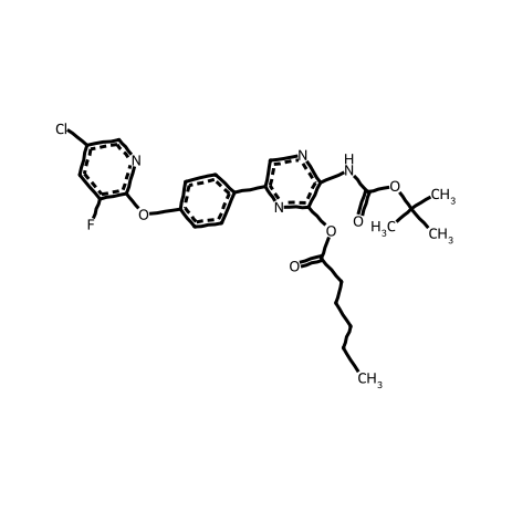 CCCCCC(=O)Oc1nc(-c2ccc(Oc3ncc(Cl)cc3F)cc2)cnc1NC(=O)OC(C)(C)C